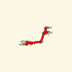 CCCCCCCCNC(=O)OC[C@H](CSC[C@H](N)C(=O)NCCOCCOCCOCCO[PH](=O)OCCOCCOCCOCCNC(=O)[C@@H](N)CSC[C@@H](COC(=O)NCCCCCCCC)OC(=O)NCCCCCCCC)OC(=O)NCCCCCCCC